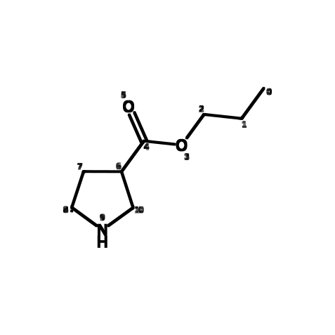 CCCOC(=O)C1C[CH]NC1